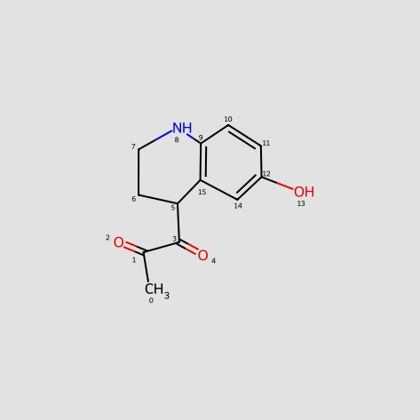 CC(=O)C(=O)C1CCNc2ccc(O)cc21